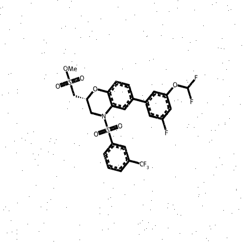 COS(=O)(=O)C[C@H]1CN(S(=O)(=O)c2cccc(C(F)(F)F)c2)c2cc(-c3cc(F)cc(OC(F)F)c3)ccc2O1